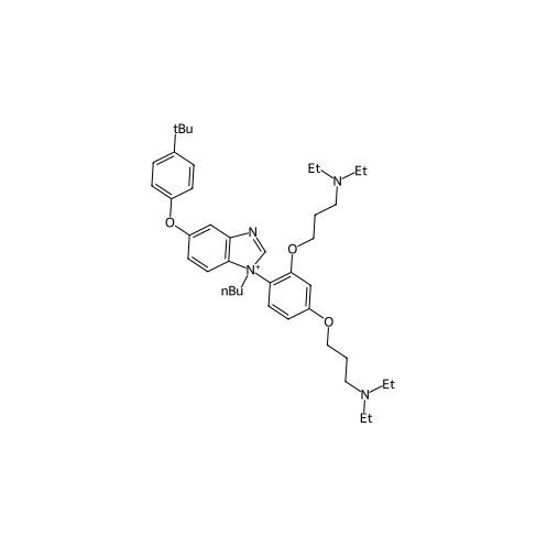 CCCC[N+]1(c2ccc(OCCCN(CC)CC)cc2OCCCN(CC)CC)C=Nc2cc(Oc3ccc(C(C)(C)C)cc3)ccc21